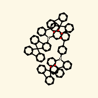 c1ccc(-c2ccccc2N(c2ccc(-c3cccc(-c4cccc(-c5ccccc5N(c5ccc6c(c5)C5(c7ccccc7-c7ccccc75)c5ccccc5-6)c5cccc6c5-c5ccccc5C65c6ccccc6-c6ccccc65)c4)c3)cc2)c2cccc3c2-c2ccccc2C32c3ccccc3-c3ccccc32)cc1